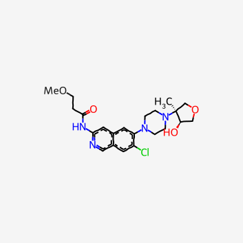 COCCC(=O)Nc1cc2cc(N3CCN([C@@]4(C)COC[C@H]4O)CC3)c(Cl)cc2cn1